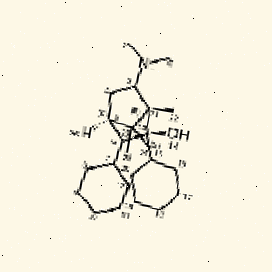 CN(C)C1C[C@@H]2C(C3CCCCC3)[C@@](O)(C3CCCCC3)[C@]1(C)C2(C)C